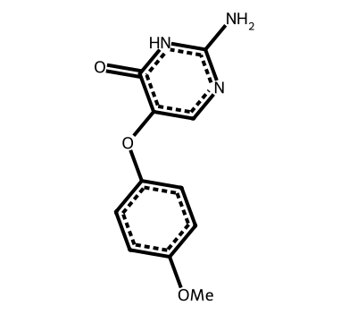 COc1ccc(Oc2cnc(N)[nH]c2=O)cc1